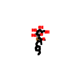 CCc1ccc(Cc2sc([C@@H]3O[C@H](CO)[C@@H](O)[C@H](O)[C@H]3O)c(OC)c2C)cc1